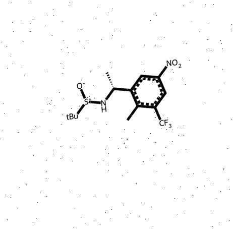 Cc1c([C@@H](C)N[S+]([O-])C(C)(C)C)cc([N+](=O)[O-])cc1C(F)(F)F